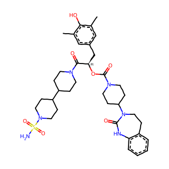 Cc1cc(C[C@@H](OC(=O)N2CCC(N3CCc4ccccc4NC3=O)CC2)C(=O)N2CCC(C3CCN(S(N)(=O)=O)CC3)CC2)cc(C)c1O